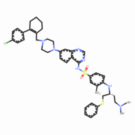 CCCN(CCC)CC[C@H](CSc1ccccc1)Nc1ccc(S(=O)(=O)Nc2ncnc3cc(N4CCN(CC5=C(c6ccc(Cl)cc6)CCCC5)CC4)ccc23)cc1[N+](=O)[O-]